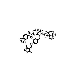 Cc1noc(C)c1COc1ccc(C[C@H]2[C@@H](CN(CC(C)C)S(=O)(=O)c3ccc4c(c3)OCO4)OC(C)(C)N2C(=O)O[C@H]2CO[C@H]3OCC[C@H]32)cc1